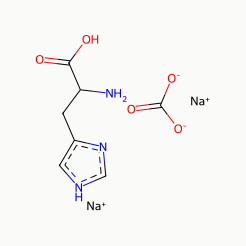 NC(Cc1c[nH]cn1)C(=O)O.O=C([O-])[O-].[Na+].[Na+]